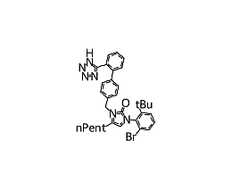 CCCCCc1cn(-c2c(Br)cccc2C(C)(C)C)c(=O)n1Cc1ccc(-c2ccccc2-c2nnn[nH]2)cc1